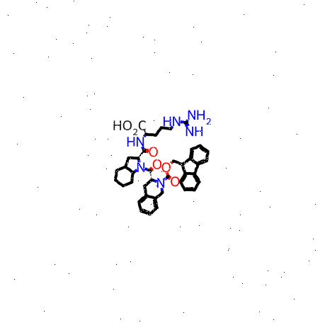 N=C(N)NCCC[C@H](NC(=O)[C@@H]1CC2CCCCC2N1C(=O)[C@H]1Cc2ccccc2CN1C(=O)OCC1c2ccccc2-c2ccccc21)C(=O)O